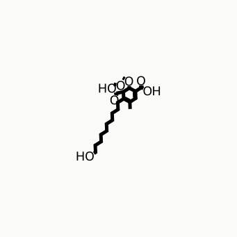 COC1C(C(=O)O)=CC(C)=C(CCCCCCCCCCO)C1(OC)C(=O)O